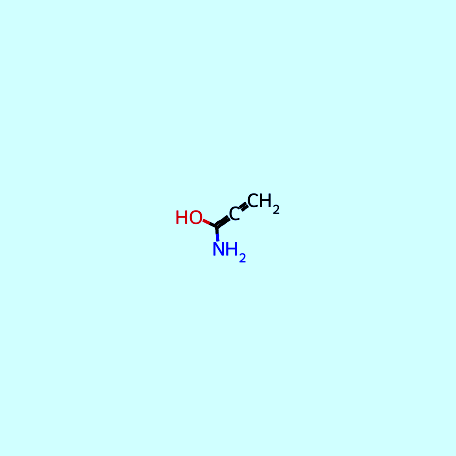 C=C=C(N)O